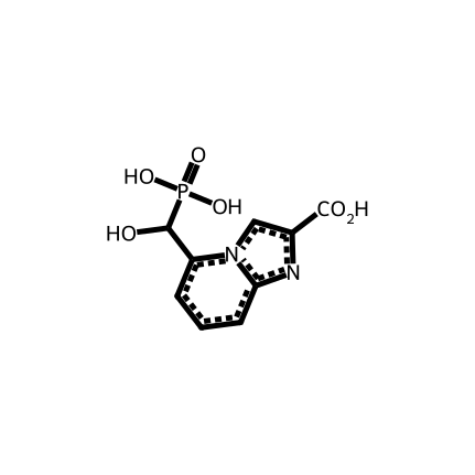 O=C(O)c1cn2c(C(O)P(=O)(O)O)cccc2n1